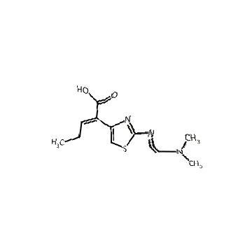 CC/C=C(/C(=O)O)c1csc(/N=C/N(C)C)n1